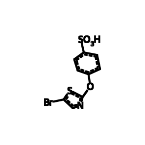 O=S(=O)(O)c1ccc(Oc2ncc(Br)s2)cc1